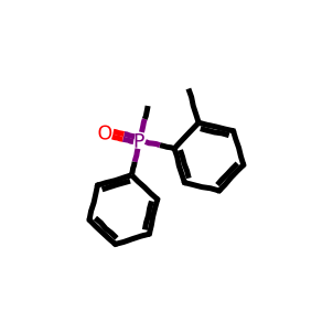 Cc1ccccc1P(C)(=O)c1ccccc1